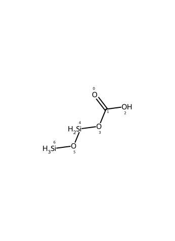 O=C(O)O[SiH2]O[SiH3]